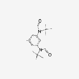 CC(C)(C)N(C=O)c1c[c]cc(N(C=O)C(C)(C)C)c1